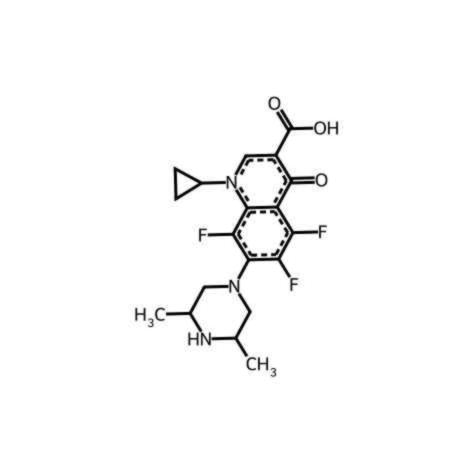 CC1CN(c2c(F)c(F)c3c(=O)c(C(=O)O)cn(C4CC4)c3c2F)CC(C)N1